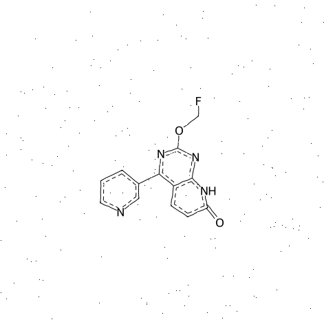 O=c1ccc2c(-c3cccnc3)nc(OCF)nc2[nH]1